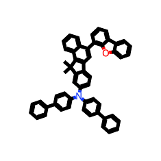 CC1(C)c2cc(N(c3ccc(-c4ccccc4)cc3)c3ccc(-c4ccccc4)cc3)ccc2-c2cc(-c3cccc4c3oc3ccccc34)c3ccccc3c21